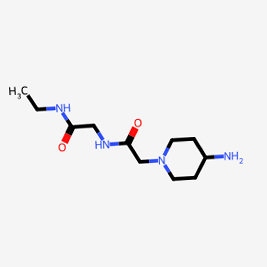 CCNC(=O)CNC(=O)CN1CCC(N)CC1